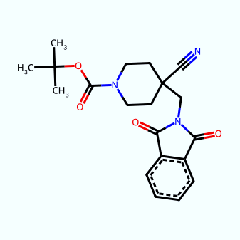 CC(C)(C)OC(=O)N1CCC(C#N)(CN2C(=O)c3ccccc3C2=O)CC1